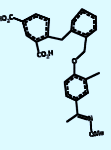 CON=C(C)c1ccc(OCc2ccccc2Cc2ccc(C(=O)O)cc2C(=O)O)c(C)c1